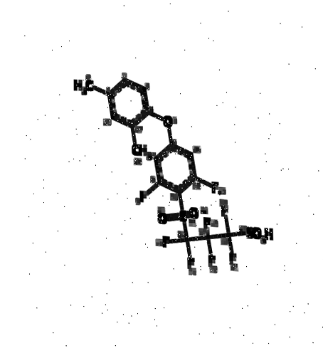 Cc1ccc(Oc2cc(F)c(S(=O)(=O)C(F)(F)C(F)(F)C(F)(F)S(=O)(=O)O)c(F)c2)c(C)c1